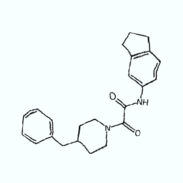 O=C(Nc1ccc2c(c1)CCC2)C(=O)N1CCC(Cc2ccccc2)CC1